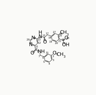 COc1cccc(CNC(=O)c2cc(NC(=O)Cc3ccc(C(=O)O)c(C)c3)ncn2)c1